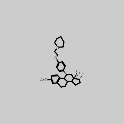 CC(=O)Oc1ccc2c(c1)CCC1C2[C@@H](c2ccc(OCCN3CCCCC3)cc2)C[C@@]2(C)C1CC[C@H]2F